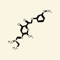 CCN(C)C=Nc1cc(Cl)c(C(=O)COc2cccc(SC)c2)nc1C